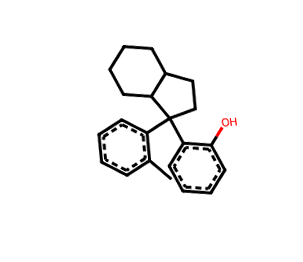 Cc1ccccc1C1(c2ccccc2O)CCC2CCCCC21